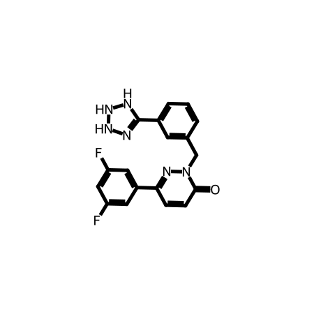 O=c1ccc(-c2cc(F)cc(F)c2)nn1Cc1cccc(C2=NNNN2)c1